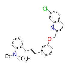 CCN(C(=O)O)c1ccccc1CC=Cc1cccc(OCc2ccc3ccc(Cl)cc3n2)c1